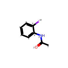 CC(=O)Nc1ccccc1I